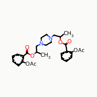 CC(=O)Oc1ccccc1C(=O)OC(C)CN1CCN(CC(C)OC(=O)c2ccccc2OC(C)=O)CC1